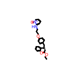 CCOC(=O)C[C@H](Cc1ccc(OCCCNc2cccc[n+]2[O-])cc1)c1ccccc1